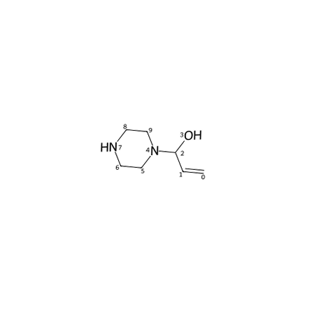 C=CC(O)N1CCNCC1